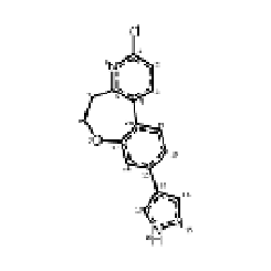 Clc1ccc2c(n1)CCOc1cc(-c3cn[nH]c3)ccc1-2